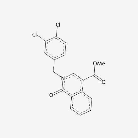 COC(=O)c1cn(Cc2ccc(Cl)c(Cl)c2)c(=O)c2ccccc12